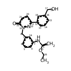 C=C(Nc1cccc(Cn2nc(-c3cccc(CO)c3)ccc2=O)c1)OCC